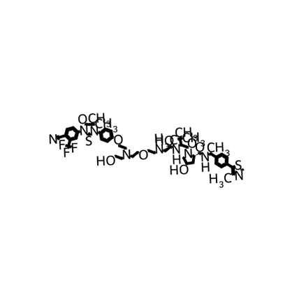 Cc1ncsc1-c1ccc([C@H](C)NC(=O)[C@@H]2C[C@@H](O)CN2C(=O)[C@@H](NC(=O)CNCCOCCN(CCO)CCOc2ccc(N3C(=S)N(c4ccc(C#N)c(C(F)(F)F)c4)C(=O)C3(C)C)cc2)C(C)(C)C)cc1